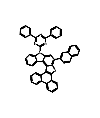 c1ccc(-c2nc(-c3ccccc3)nc(-n3c4ccccc4c4c5c(sc6c7ccccc7c7ccccc7c65)c(-c5ccc6ccccc6c5)cc43)n2)cc1